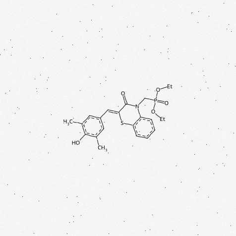 CCOP(=O)(CN1C(=O)C(=Cc2cc(C)c(O)c(C)c2)Sc2ccccc21)OCC